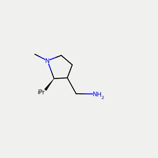 CC(C)[C@@H]1C(CN)CCN1C